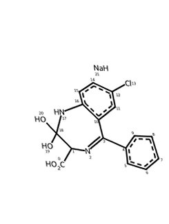 O=C(O)C1N=C(c2ccccc2)c2cc(Cl)ccc2NC1(O)O.[NaH]